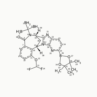 BC(B)(B)N1C(=O)c2cccc(OC(F)F)c2[C@@H]2C[C@H]1c1nc3ccc(B4OC(C)(C)C(C)(C)O4)nc3n12